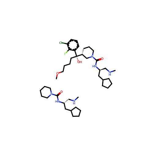 CNC[C@@H](CC1CCCC1)NC(=O)N1CCC[C@@H]([C@@](O)(CCCCOC)c2cccc(Cl)c2F)C1.CNC[C@H](CC1CCCC1)NC(=O)N1CCCCC1